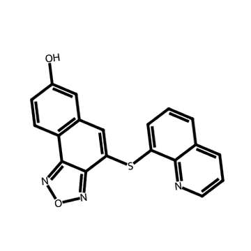 Oc1ccc2c(c1)cc(Sc1cccc3cccnc13)c1nonc12